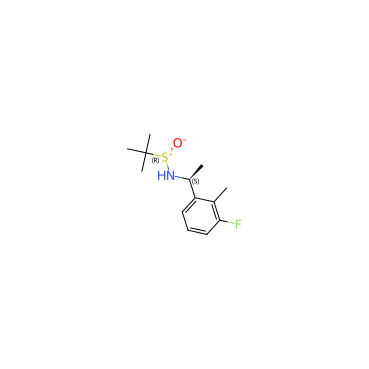 Cc1c(F)cccc1[C@H](C)N[S@@+]([O-])C(C)(C)C